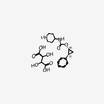 O=C(NC1CCNCC1)O[C@@H]1C[C@H]1c1ccccc1.O=C(O)C(O)C(O)C(=O)O